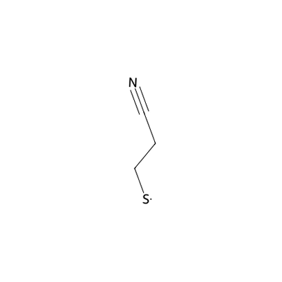 N#CCC[S]